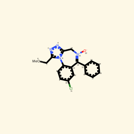 COCc1nnc2n1-c1ccc(Cl)cc1C(c1ccccc1)=[N+]([O-])C2